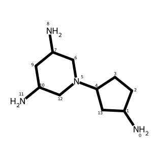 NC1CCC(N2CC(N)CC(N)C2)C1